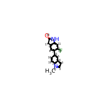 Cn1ccc2cc(-c3cc4c(cc3F)NC(=O)C4)ccc21